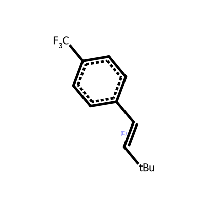 CC(C)(C)/C=C/c1ccc(C(F)(F)F)cc1